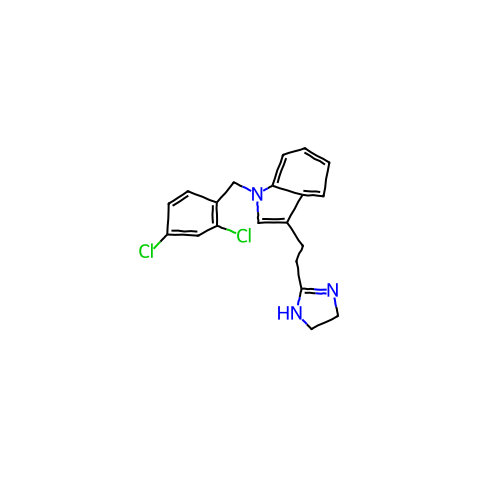 Clc1ccc(Cn2cc(CCC3=NCCN3)c3ccccc32)c(Cl)c1